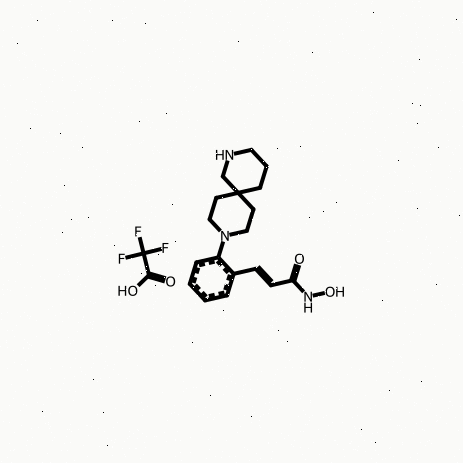 O=C(/C=C/c1ccccc1N1CCC2(CCCNC2)CC1)NO.O=C(O)C(F)(F)F